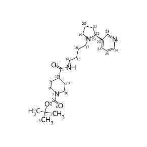 CC(C)(C)OC(=O)N1CCC(C(=O)NCCCCN2CCC[C@H]2c2cccnc2)CC1